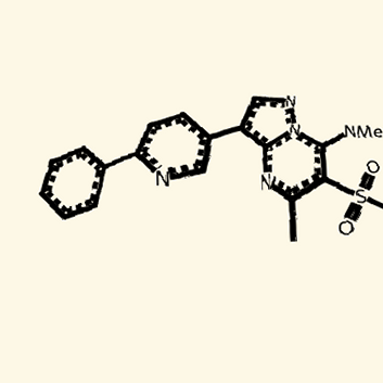 CNc1c(S(C)(=O)=O)c(C)nc2c(-c3ccc(-c4ccccc4)nc3)cnn12